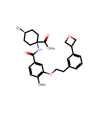 CC[C@H]1CC[C@](NC(=O)c2ccc(OC)c(OCCc3cccc(C4COC4)c3)c2)(C(=O)OC)CC1